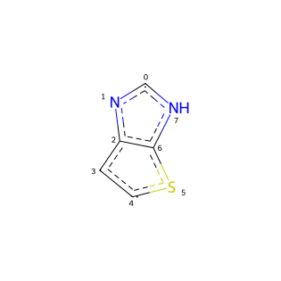 [c]1nc2c[c]sc2[nH]1